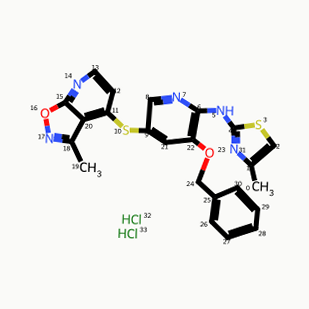 Cc1csc(Nc2ncc(Sc3ccnc4onc(C)c34)cc2OCc2ccccc2)n1.Cl.Cl